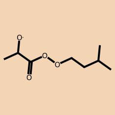 CC(C)CCOOC(=O)C(C)[O]